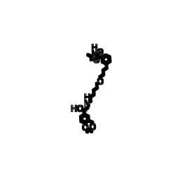 CC(C)NS(=O)(=O)c1cccc(CCCCOCCCCCCNC[C@@H](O)c2ccc3c(c2)COC(C)(C)O3)c1